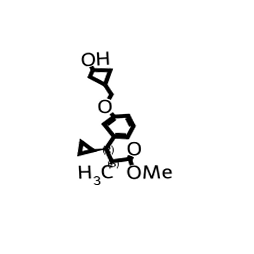 COC(=O)[C@@H](C)[C@H](c1cccc(OCC2CC(O)C2)c1)C1CC1